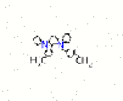 C=Cc1ccc(Cn2c3ccccc3c3ccc4c(c5ccc(C)cc5n4-c4ccccc4)c32)cc1